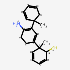 CC1(C2=C(N)CCC(C3(C)C=CC=CC3S)=C2)C=CC=CC1